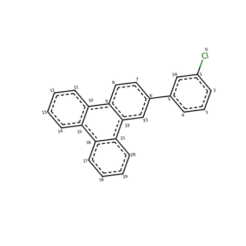 Clc1cccc(-c2ccc3c4ccccc4c4ccccc4c3c2)c1